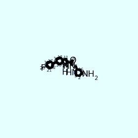 NC1CCNC(CNC(=O)c2cc3ccc(-c4ccc(F)cc4)cc3[nH]2)C1